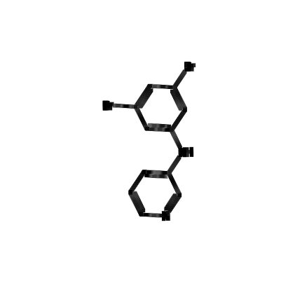 Brc1cc(Br)cc(Nc2cccnc2)c1